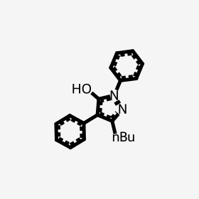 CCCCc1nn(-c2ccccc2)c(O)c1-c1ccccc1